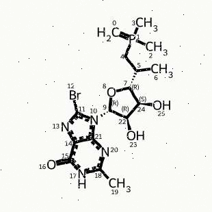 C=P(C)(C)CC(C)[C@H]1O[C@@H](n2c(Br)nc3c(=O)[nH]c(C)nc32)[C@H](O)[C@@H]1O